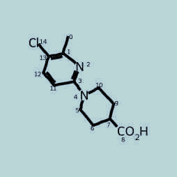 Cc1nc(N2CCC(C(=O)O)CC2)ccc1Cl